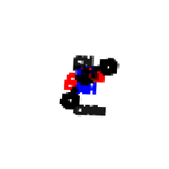 COc1cccc(C(=O)NC(CS(=O)(=O)Cc2ccccc2)C(=O)NCC#N)c1